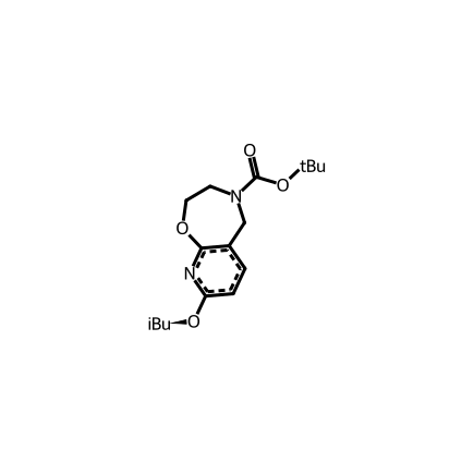 CC[C@H](C)Oc1ccc2c(n1)OCCN(C(=O)OC(C)(C)C)C2